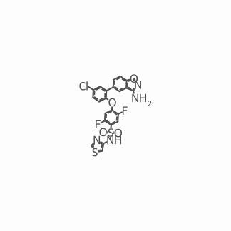 Nc1noc2ccc(-c3cc(Cl)ccc3Oc3cc(F)c(S(=O)(=O)Nc4cscn4)cc3F)cc12